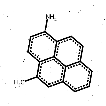 Cc1cc2cccc3ccc4c(N)ccc1c4c32